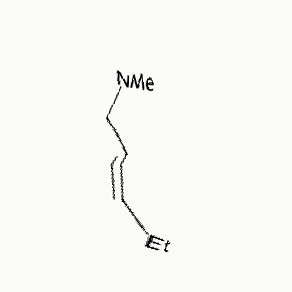 [CH2]NC/C=C/CC